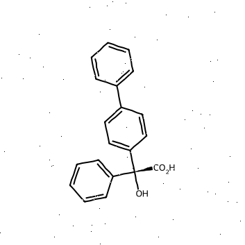 O=C(O)[C@@](O)(c1ccccc1)c1ccc(-c2ccccc2)cc1